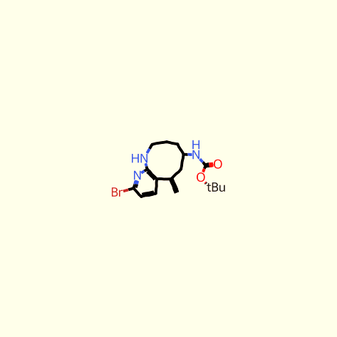 C=C1CC(NC(=O)OC(C)(C)C)CCCNc2nc(Br)ccc21